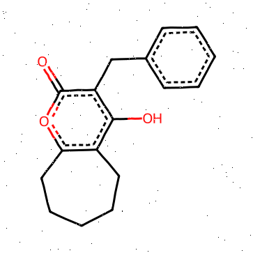 O=c1oc2c(c(O)c1Cc1ccccc1)CCCCC2